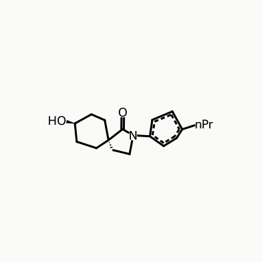 CCCc1ccc(N2CC[C@]3(CC[C@H](O)CC3)C2=O)cc1